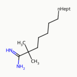 CCCCCCCCCCCCC(C)(C)C(=N)N